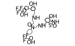 O=C(CCNCCc1ccc(O)c(Cl)c1)N(CCNCCc1ccc(O)c2[nH]c(=O)sc12)C1CCCCC1.O=C(O)C(F)(F)F.O=C(O)C(F)(F)F